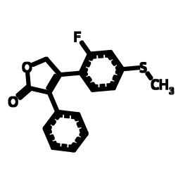 CSc1ccc(C2=C(c3ccccc3)C(=O)OC2)c(F)c1